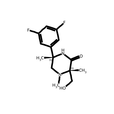 CN1C[C@](C)(c2cc(F)cc(F)c2)NC(=O)[C@]1(C)CO